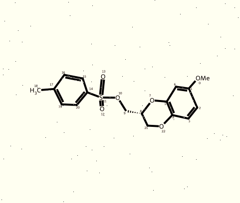 COc1ccc2c(c1)O[C@@H](COS(=O)(=O)c1ccc(C)cc1)CO2